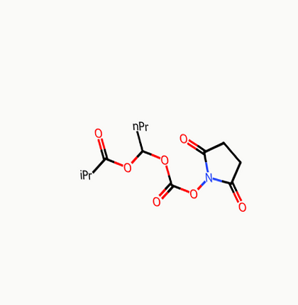 CCCC(OC(=O)ON1C(=O)CCC1=O)OC(=O)C(C)C